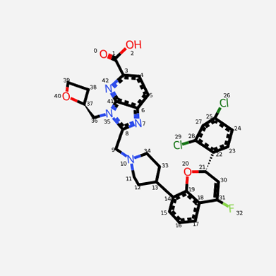 O=C(O)c1ccc2nc(CN3CCC(c4cccc5c4O[C@H](c4ccc(Cl)cc4Cl)C=C5F)CC3)n(C[C@@H]3CCO3)c2n1